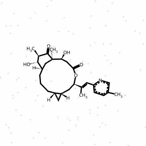 C/C(=C\c1ccc(C)cn1)[C@H]1C[C@@H]2C[C@@H]2CCC[C@@H]2C[C@@](C)(C(=O)[C@H](C)[C@H]2O)[C@@H](O)CC(=O)O1